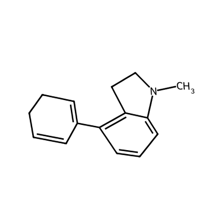 CN1CCc2c(C3=CCCC=C3)cccc21